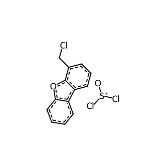 ClCc1cccc2c1oc1ccccc12.[O-][S+](Cl)Cl